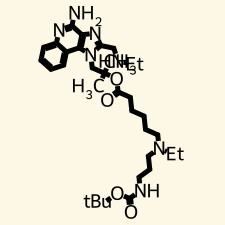 CCNCc1nc2c(N)nc3ccccc3c2n1CC(C)(C)OC(=O)CCCCCN(CC)CCCNC(=O)OC(C)(C)C